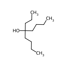 CCCCC(O)(CCC)CCCC